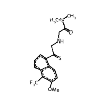 COc1ccc2c(C(=S)CNCC(=O)N(C)C)cccc2c1C(F)(F)F